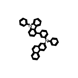 c1ccc(N(c2cccc(-c3cccc4c3c3ccccc3n4-c3ccccc3)c2)c2ccc3c(ccc4ccccc43)c2)cc1